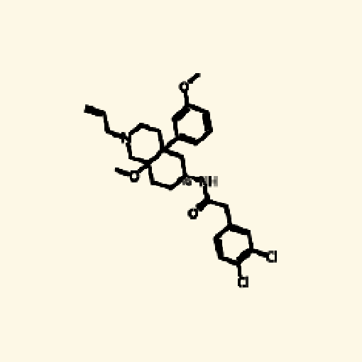 C=CCN1CCC2(c3cccc(OC)c3)C[C@@H](NC(=O)Cc3ccc(Cl)c(Cl)c3)CCC2(OC)C1